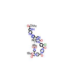 COC(=O)c1cc2cnc(-n3cc(-c4cnc(C(=O)Nc5ccc(C(=O)N6CCN(C(=O)C7CC[N+](CC(=O)OC(C)(C)C)(CC8CN(C(=O)OC(C)(C)C)C8)CC7)CC6)c(Cl)c5)n4C)c(C(F)(F)F)n3)cc2[nH]1